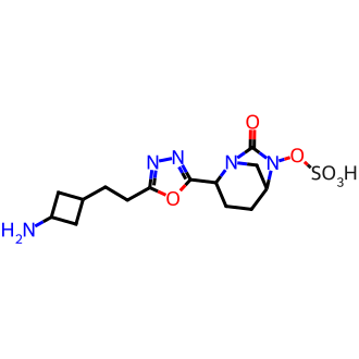 NC1CC(CCc2nnc(C3CCC4CN3C(=O)N4OS(=O)(=O)O)o2)C1